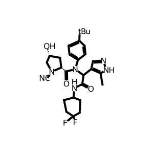 Cc1[nH]ncc1C(C(=O)NC1CCC(F)(F)CC1)N(C(=O)[C@H]1C[C@@H](O)CN1C#N)c1ccc(C(C)(C)C)cc1